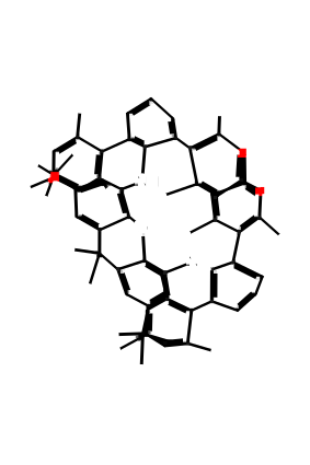 Cc1cc(C)c(-c2cccc(-c3c(C)cc(C)cc3C)c2Nc2cc(C(C)(C)C)cc3c2Oc2c(Nc4c(-c5c(C)cc(C)cc5C)cccc4-c4c(C)cc(C)cc4C)cc(C(C)(C)C)cc2C3(C)C)c(C)c1